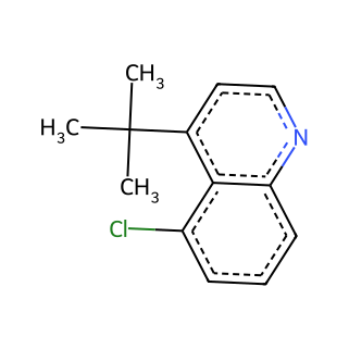 CC(C)(C)c1ccnc2cccc(Cl)c12